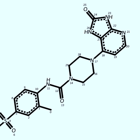 Cc1cc(S(C)(=O)=O)ccc1NC(=O)N1CCN(c2ccnc3[nH]c(=O)[nH]c23)CC1